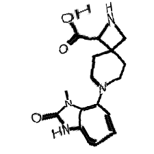 Cn1c(=O)[nH]c2cccc(N3CCC4(CC3)CNC4C(=O)O)c21